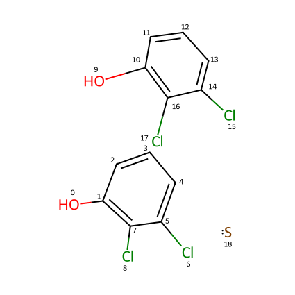 Oc1cccc(Cl)c1Cl.Oc1cccc(Cl)c1Cl.[S]